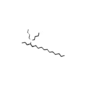 Br.CCCCCCCCCCCCC(CCC)P(CCCC)CCCC